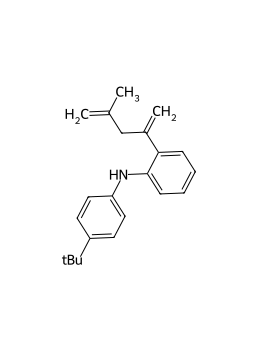 C=C(C)CC(=C)c1ccccc1Nc1ccc(C(C)(C)C)cc1